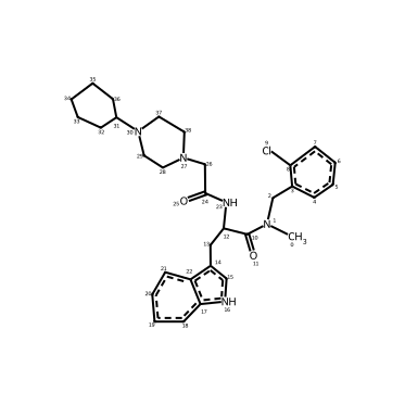 CN(Cc1ccccc1Cl)C(=O)C(Cc1c[nH]c2ccccc12)NC(=O)CN1CCN(C2CCCCC2)CC1